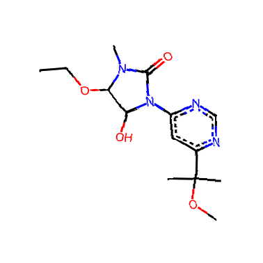 CCOC1C(O)N(c2cc(C(C)(C)OC)ncn2)C(=O)N1C